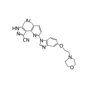 CC(=O)c1ccc(-n2cnc3cc(OCCN4CCOCC4)ccc32)nc1-c1c(C#N)n[nH]c1C